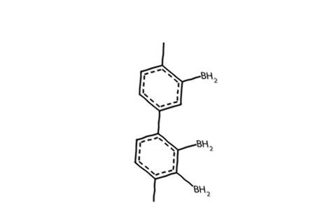 Bc1cc(-c2ccc(C)c(B)c2B)ccc1C